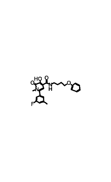 Cc1cc(F)cc(-c2cc(C(=O)NCCCCOc3ccccc3)c(O)c(=O)n2C)c1